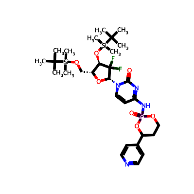 CC(C)(C)[Si](C)(C)OC[C@H]1O[C@@H](n2ccc(NP3(=O)OCCC(c4ccncc4)O3)nc2=O)C(F)(F)[C@@H]1O[Si](C)(C)C(C)(C)C